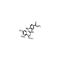 CCCCCC(CC(=O)Nc1cc(C(N)=O)ccc1C(C)(C)C)c1ccc(C(C)=O)cc1OC